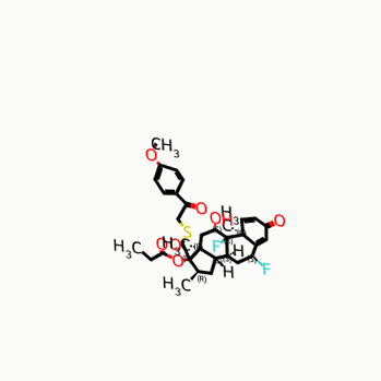 CCC(=O)O[C@]1(C(=O)SCC(=O)c2ccc(OC)cc2)[C@H](C)C[C@H]2[C@@H]3C[C@H](F)C4=CC(=O)C=C[C@]4(C)[C@@]3(F)[C@@H](O)C[C@@]21C